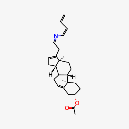 C=C/C=C\N=C/CC1=CC[C@H]2C3CC=C4C[C@@H](OC(C)=O)CC[C@]4(C)[C@H]3CC[C@]12C